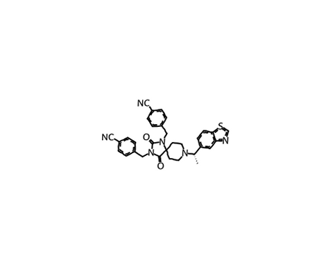 C[C@@H](c1ccc2scnc2c1)N1CCC2(CC1)C(=O)N(Cc1ccc(C#N)cc1)C(=O)N2Cc1ccc(C#N)cc1